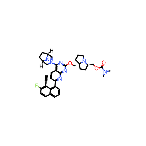 C#Cc1c(F)ccc2cccc(-c3ccc4c(N5C[C@H]6CC[C@@H](C5)N6)nc(OC[C@]56CCCN5[C@@H](COC(=O)N(C)C)CC6)nc4n3)c12